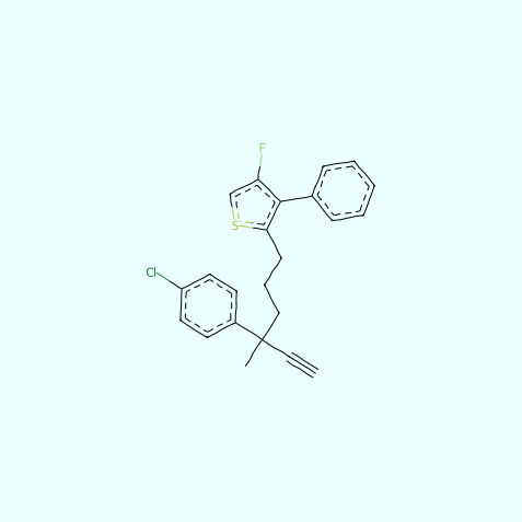 C#CC(C)(CCCc1scc(F)c1-c1ccccc1)c1ccc(Cl)cc1